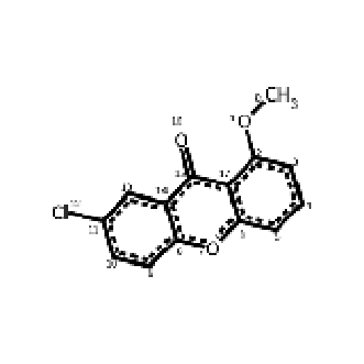 COc1cccc2oc3ccc(Cl)cc3c(=O)c12